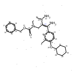 Cc1nc(/C(N)=C(\CN(C)C(=O)OCc2ccccc2)N(C)N)ccc1OC1CCCCC1